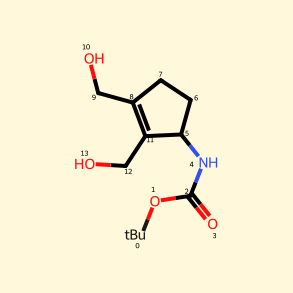 CC(C)(C)OC(=O)NC1CCC(CO)=C1CO